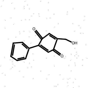 O=C1C=C(c2ccccc2)C(=O)C=C1CO